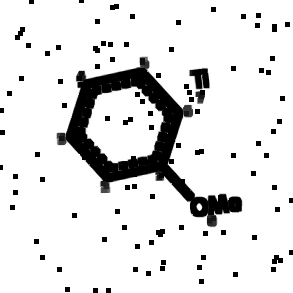 COc1cc[c]cc1.[Ti]